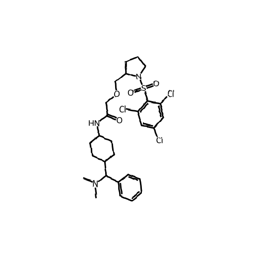 CN(C)C(c1ccccc1)C1CCC(NC(=O)COCC2CCCN2S(=O)(=O)c2c(Cl)cc(Cl)cc2Cl)CC1